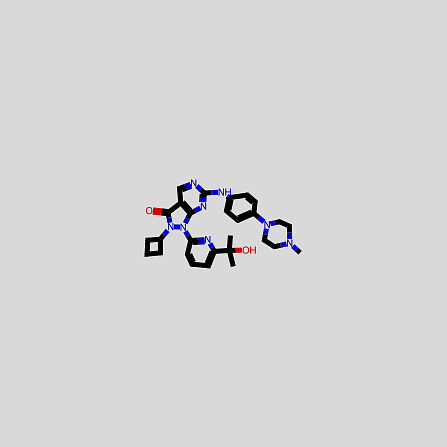 CN1CCN(c2ccc(Nc3ncc4c(=O)n(C5CCC5)n(-c5cccc(C(C)(C)O)n5)c4n3)cc2)CC1